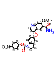 COc1cc2nccc(Oc3ccc4c(c3)CCN4C(=O)Oc3ccc([N+](=O)[O-])cc3)c2cc1C(N)=O